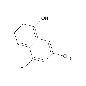 CCc1cc(C)cc2c(O)cccc12